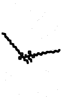 CCCCCCCCCCCCCOC(=O)C(CCC)SC(CCC)C(=O)OCCCCCCCCCCCCC